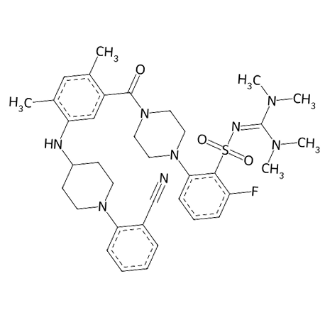 Cc1cc(C)c(C(=O)N2CCN(c3cccc(F)c3S(=O)(=O)N=C(N(C)C)N(C)C)CC2)cc1NC1CCN(c2ccccc2C#N)CC1